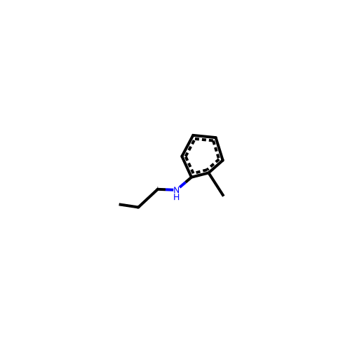 CC[CH]Nc1ccccc1C